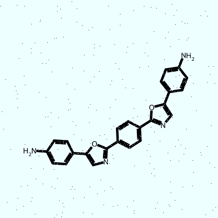 Nc1ccc(-c2cnc(-c3ccc(-c4ncc(-c5ccc(N)cc5)o4)cc3)o2)cc1